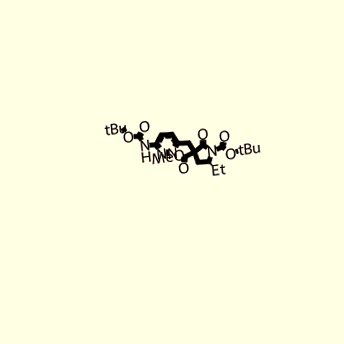 CC[C@@H]1CC(Cc2ccc(NC(=O)OC(C)(C)C)nn2)(C(=O)OC)C(=O)N1C(=O)OC(C)(C)C